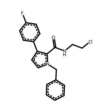 O=C(NCCCl)c1c(-c2ccc(F)cc2)ccn1Cc1ccccc1